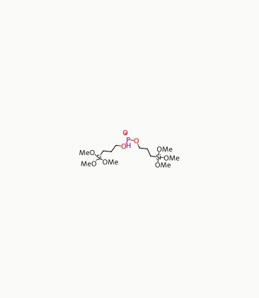 CO[Si](CCCO[PH](=O)OCCC[Si](OC)(OC)OC)(OC)OC